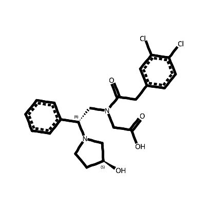 O=C(O)CN(C[C@@H](c1ccccc1)N1CC[C@H](O)C1)C(=O)Cc1ccc(Cl)c(Cl)c1